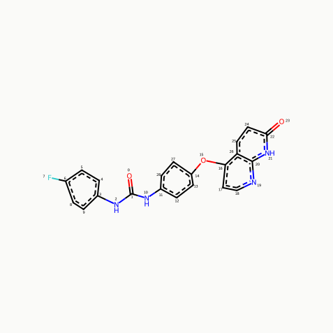 O=C(Nc1ccc(F)cc1)Nc1ccc(Oc2ccnc3[nH]c(=O)ccc23)cc1